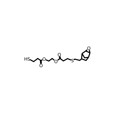 O=C(CCS)OCCOC(=O)CCSCCC1CC2CC1C1OC21